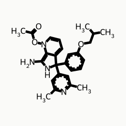 CC(=O)ON1C=CC=C2C1=C(N)NC2(c1cccc(OCC(C)C)c1)c1cc(C)nc(C)c1